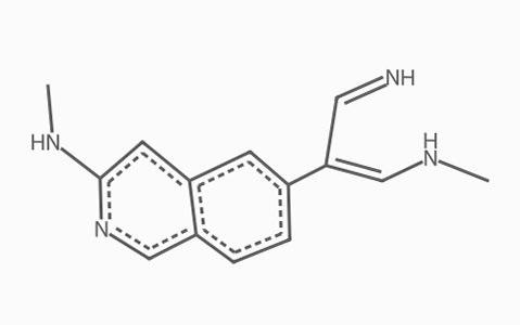 CN/C=C(\C=N)c1ccc2cnc(NC)cc2c1